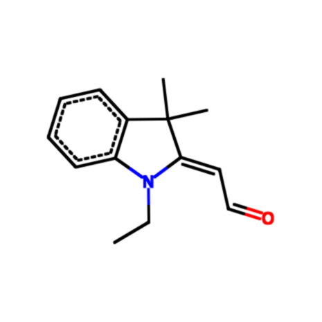 CCN1C(=CC=O)C(C)(C)c2ccccc21